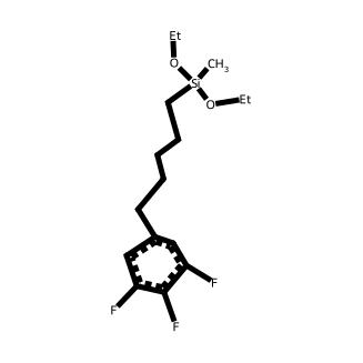 CCO[Si](C)(CCCCCc1cc(F)c(F)c(F)c1)OCC